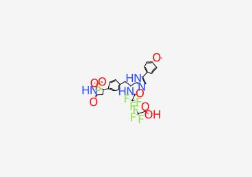 COc1ccc(-c2cnc(C(Cc3ccc(C4CC(=O)NS4(=O)=O)cc3)NC(=O)C(F)(F)F)[nH]2)cc1.O=C(O)C(F)(F)F